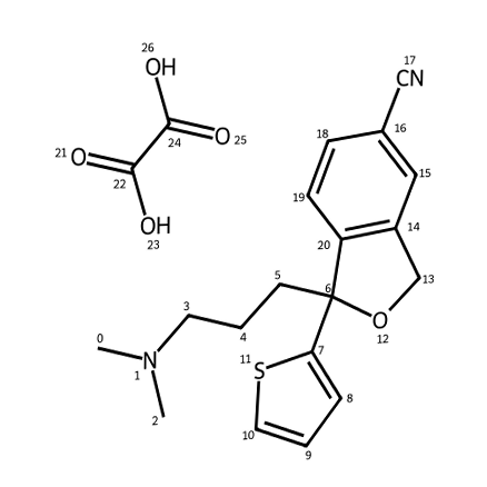 CN(C)CCCC1(c2cccs2)OCc2cc(C#N)ccc21.O=C(O)C(=O)O